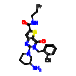 CC(C)CCNC(=O)c1cc2nc(N3CCCC(N)C3)n(Cc3ccccc3C#N)c(=O)c2s1